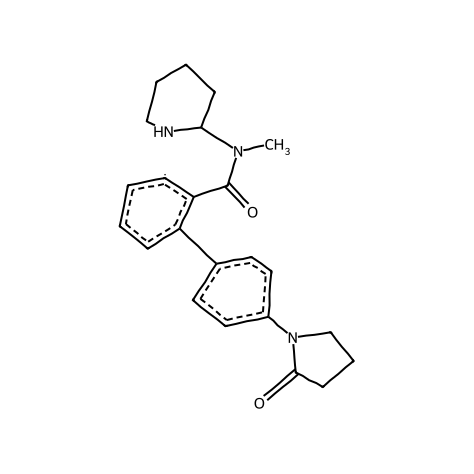 CN(C(=O)c1[c]cccc1-c1ccc(N2CCCC2=O)cc1)C1CCCCN1